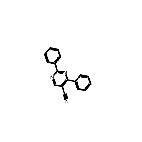 N#Cc1cnc(-c2ccccc2)nc1-c1ccccc1